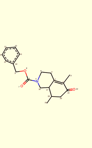 CC1=C2CCN(C(=O)OCc3ccccc3)CC2C(C)CC1=O